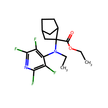 CCOC(=O)C1(N(CC)c2c(F)c(F)nc(F)c2F)CC2CCC1C2